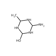 CC1NC(N)NC(O)N1